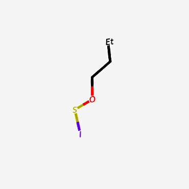 CCCCOSI